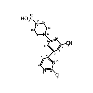 N#Cc1cc(-c2ccnc(Cl)n2)cc(N2CCN(C(=O)O)CC2)c1